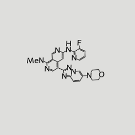 CNc1ncc(-c2nc3ccc(N4CCOCC4)cn3n2)c2cc(Nc3ncccc3F)ncc12